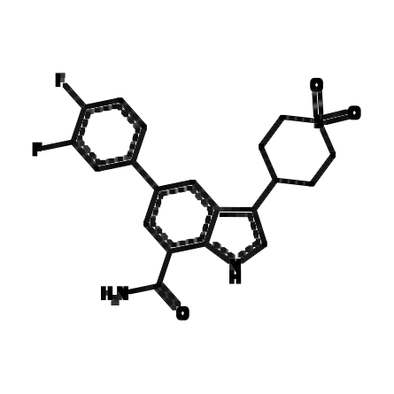 NC(=O)c1cc(-c2ccc(F)c(F)c2)cc2c(C3CCS(=O)(=O)CC3)c[nH]c12